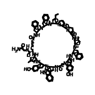 CCCC[C@H]1C(=O)N2CCC[C@@H]2C(=O)N2CCC[C@H]2C(=O)N[C@@H](C(C)C)C(=O)N(C)[C@@H](Cc2ccccc2)C(=O)N[C@H]2Cc3ccc(O)cc3N(CC(=O)N[C@@H](Cc3c[nH]c4ccccc34)C(=O)NC(Cc3ccc(O)cc3)C(=O)N[C@@H](CC(C)C)C(=O)N[C@H](C(=O)NCC(N)=O)CSCC(=O)N[C@@H](Cc3ccccc3)C(=O)N(C)[C@@H](Cc3ccccc3)C(=O)N1C)C2=O